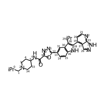 CC(C)CN1CCC(NC(=O)c2nnc(-c3ccc4[nH]c(-c5ccnc6[nH]ncc56)c(C(C)C)c4c3)o2)CC1